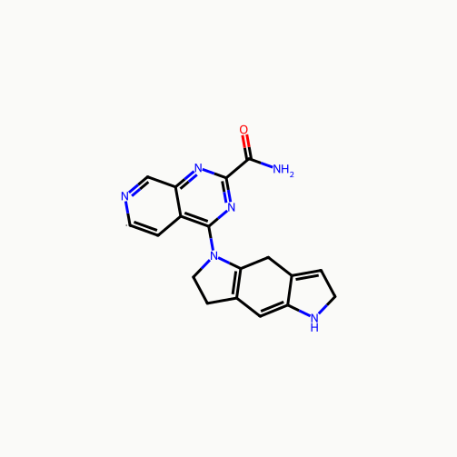 NC(=O)c1nc(N2CCC3=C2CC2=CCNC2=C3)c2c[c]ncc2n1